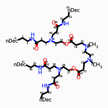 CCCCCCCCCCCCNC(=O)CCN(CCOC(=O)CCN(C)CCN(C)CCC(=O)OCCN(CCC(=O)NCCCCCCCCCCCC)CCC(=O)NCCCCCCCCCCCC)CCC(=O)NCCCCCCCCCCCC